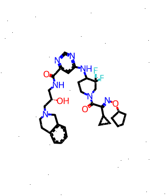 O=C(NC[C@H](O)CN1CCc2ccccc2C1)c1cc(NC2CCN(C(=O)C(=NOC3CCCC3)C3CC3)CC2(F)F)ncn1